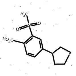 CS(=O)(=O)c1cc(C2CCCC2)ccc1C(=O)O